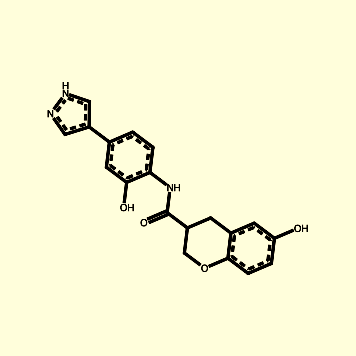 O=C(Nc1ccc(-c2cn[nH]c2)cc1O)C1COc2ccc(O)cc2C1